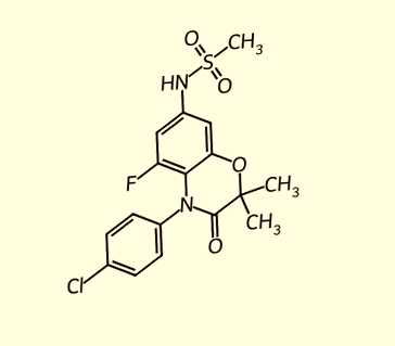 CC1(C)Oc2cc(NS(C)(=O)=O)cc(F)c2N(c2ccc(Cl)cc2)C1=O